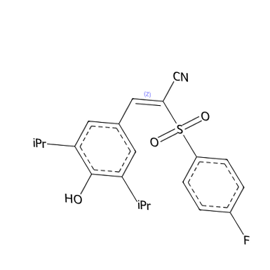 CC(C)c1cc(/C=C(/C#N)S(=O)(=O)c2ccc(F)cc2)cc(C(C)C)c1O